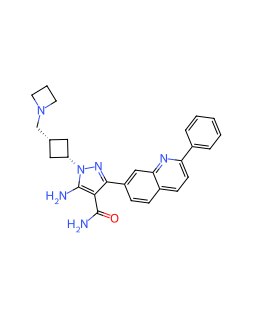 NC(=O)c1c(-c2ccc3ccc(-c4ccccc4)nc3c2)nn([C@H]2C[C@@H](CN3CCC3)C2)c1N